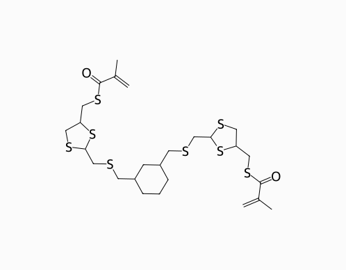 C=C(C)C(=O)SCC1CSC(CSCC2CCCC(CSCC3SCC(CSC(=O)C(=C)C)S3)C2)S1